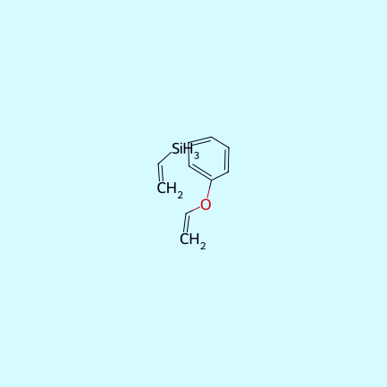 C=COc1ccccc1.C=C[SiH3]